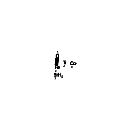 [Co].[O]=[Fe].[SrH2].[Ti]